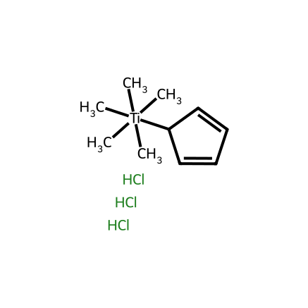 Cl.Cl.Cl.[CH3][Ti]([CH3])([CH3])([CH3])([CH3])[CH]1C=CC=C1